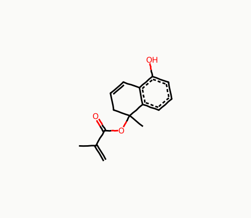 C=C(C)C(=O)OC1(C)CC=Cc2c(O)cccc21